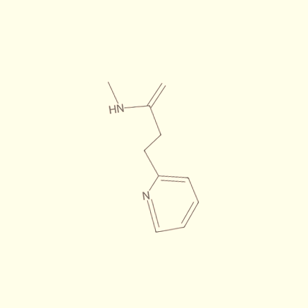 C=C(CCc1ccccn1)NC